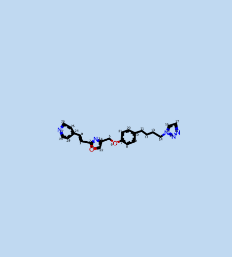 C(=Cc1nc(COc2ccc(CCCCn3ccnn3)cc2)co1)c1ccncc1